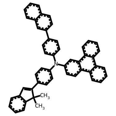 CC1(C)C(c2ccc(N(c3ccc(-c4ccc5ccccc5c4)cc3)c3ccc4c5ccccc5c5ccccc5c4c3)cc2)=Cc2ccccc21